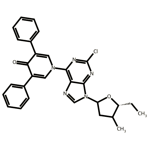 CC[C@H]1OC(n2cnc3c(-n4cc(-c5ccccc5)c(=O)c(-c5ccccc5)c4)nc(Cl)nc32)CC1C